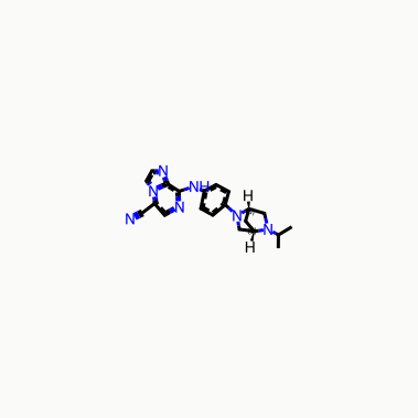 CC(C)N1C[C@@H]2C[C@H]1CN2c1ccc(Nc2ncc(C#N)n3ccnc23)cc1